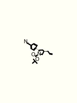 C=CC[C@@H]1C[C@@H](c2ccc(C#N)cc2)N(C(=O)OC(C)(C)C)C1